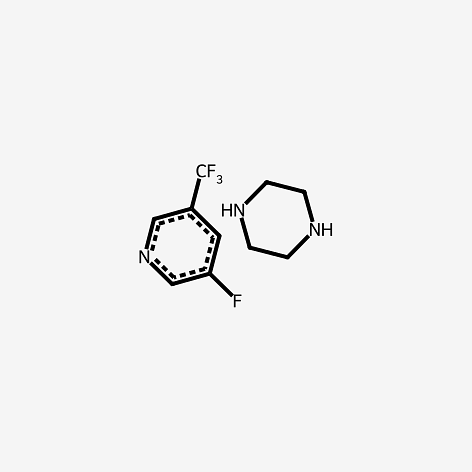 C1CNCCN1.Fc1cncc(C(F)(F)F)c1